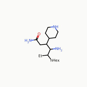 CCCCCCC(CC)C(N)C(CC(N)=O)C1CCNCC1